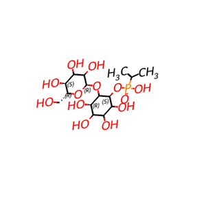 CC(C)P(=O)(O)O[C@H]1C(O)C(O)C(O)[C@@H](O)C1O[C@H]1O[C@H](CO)[C@@H](O)C(O)C1O